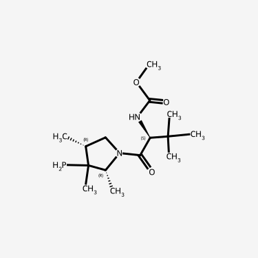 COC(=O)N[C@H](C(=O)N1C[C@@H](C)C(C)(P)[C@H]1C)C(C)(C)C